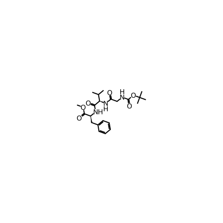 COC(=O)[C@H](Cc1ccccc1)NC(=O)[C@H](NC(=O)CNC(=O)OC(C)(C)C)C(C)C